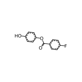 O=C(Oc1ccc(O)cc1)c1ccc(F)cc1